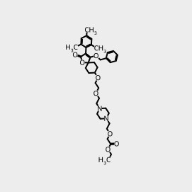 CCOC(=O)COCCN1CCN(CCOCCOC2CCC3(CC2)OC(=O)C(c2c(C)cc(C)cc2C)=C3OCc2ccccc2)CC1